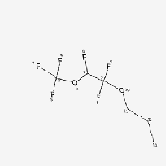 FC(OC(F)(F)F)C(F)(F)OCCI